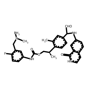 BN(C)Cc1cc(NC(=O)OC[C@H](C)c2ccc(C(C=O)Nc3ccc4cc[nH]c(=O)c4c3)cc2C)ccc1F